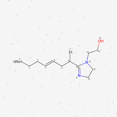 CCCCCCCCCCCC=CCC(CC)C1=NCCN1CCO